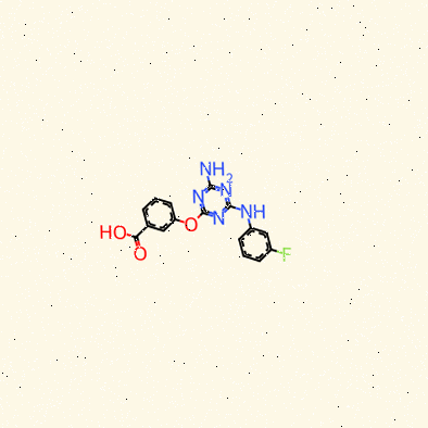 Nc1nc(Nc2cccc(F)c2)nc(Oc2cccc(C(=O)O)c2)n1